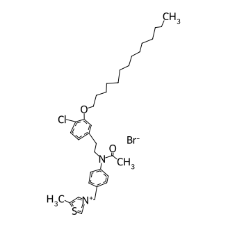 CCCCCCCCCCCCCCOc1cc(CCN(C(C)=O)c2ccc(C[n+]3csc(C)c3)cc2)ccc1Cl.[Br-]